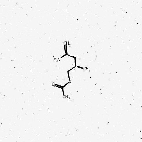 C=C(C)CC(C)CSC(C)=O